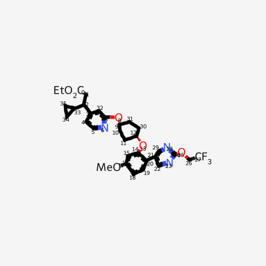 CCOC(=O)CC(c1ccnc(O[C@H]2CC[C@H](Oc3cc(OC)ccc3-c3cnc(OCC(F)(F)F)nc3)CC2)c1)C1CC1